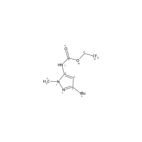 Cn1nc(C(C)(C)C)cc1NC(=O)OCC(F)(F)F